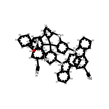 N#Cc1ccc2c(c1)c1ccccc1n2-c1ccc2c(c1)Oc1cccc(-n3c4ccccc4c4cc(C#N)ccc43)c1C21c2cccnc2-c2ncc(-n3c4ccccc4c4ccncc43)cc21